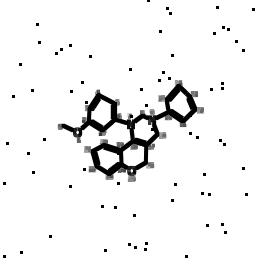 COc1cccc(N2CN(c3ccccc3)CC3=C2c2ccccc2OC3)c1